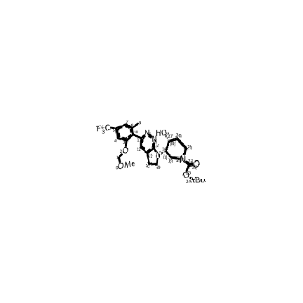 COCOc1cc(C(F)(F)F)cc(C)c1-c1cc2c(nn1)N([C@H]1CN(C(=O)OC(C)(C)C)CC[C@H]1O)CC2